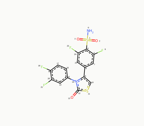 NS(=O)(=O)c1c(F)cc(-c2csc(=O)n2-c2ccc(F)c(F)c2)cc1F